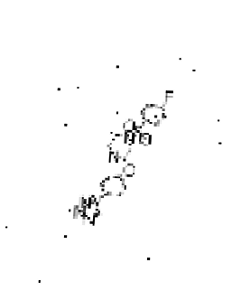 O=S(=O)(c1ccc(F)cc1)N1CC[N]C(Oc2ccc(-n3cnnn3)cc2)C1